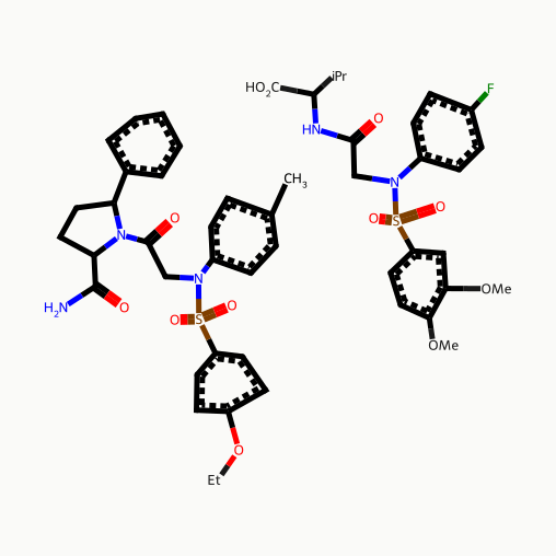 CCOc1ccc(S(=O)(=O)N(CC(=O)N2C(C(N)=O)CCC2c2ccccc2)c2ccc(C)cc2)cc1.COc1ccc(S(=O)(=O)N(CC(=O)NC(C(=O)O)C(C)C)c2ccc(F)cc2)cc1OC